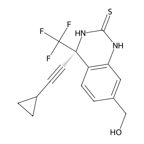 OCc1ccc2c(c1)NC(=S)N[C@]2(C#CC1CC1)C(F)(F)F